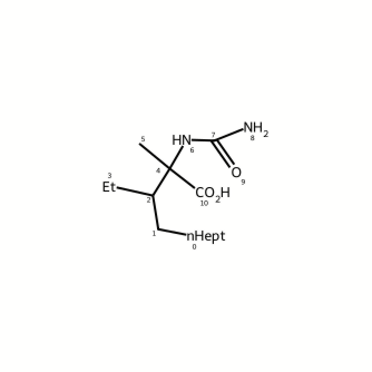 CCCCCCCCC(CC)C(C)(NC(N)=O)C(=O)O